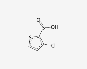 O=S(O)c1sccc1Cl